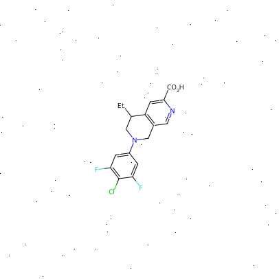 CCC1CN(c2cc(F)c(Cl)c(F)c2)Cc2cnc(C(=O)O)cc21